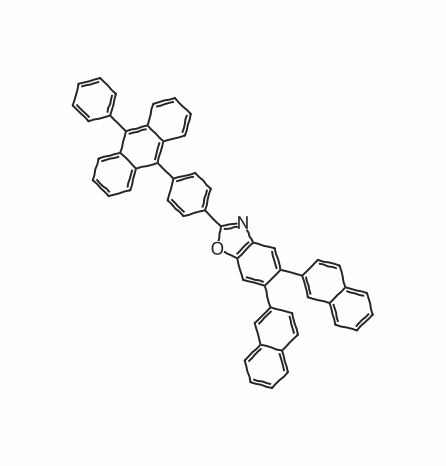 c1ccc(-c2c3ccccc3c(-c3ccc(-c4nc5cc(-c6ccc7ccccc7c6)c(-c6ccc7ccccc7c6)cc5o4)cc3)c3ccccc23)cc1